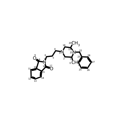 CC1CN(CCCN2C(=O)c3ccccc3C2=O)CC(C)N1Cc1ccccc1